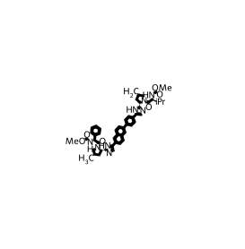 C=C1C[C@@H](c2ncc(-c3ccc(-c4ccc5cc(-c6cnc([C@@H]7C[C@H](C)CN7C(=O)[C@H](NC(=O)OC)c7ccccc7)[nH]6)ccc5c4)cc3)[nH]2)N(C(=O)[C@@H](NC(=O)OC)C(C)C)C1